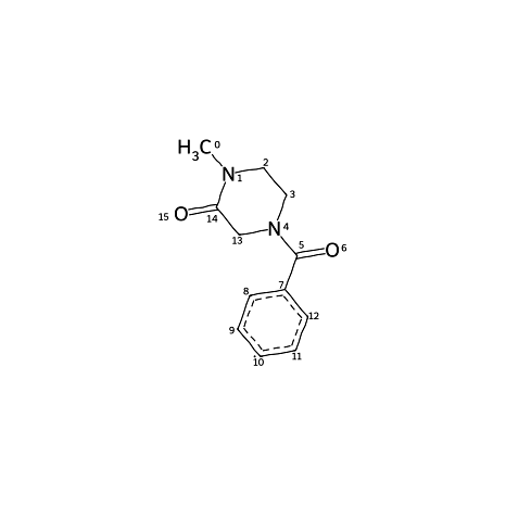 CN1CCN(C(=O)c2cc[c]cc2)CC1=O